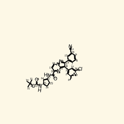 Cc1cc(-c2c(-c3cccc(C#N)c3)nn3ccc(C(=O)N[C@H]4CC[C@H](NC(=O)OC(C)(C)C)C4)nc23)cc(Cl)n1